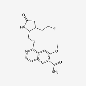 COc1cc2c(OCC3NC(=O)CC3CCF)nccc2cc1C(N)=O